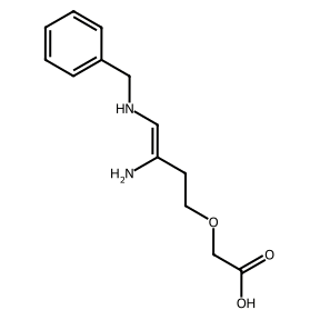 N/C(=C\NCc1ccccc1)CCOCC(=O)O